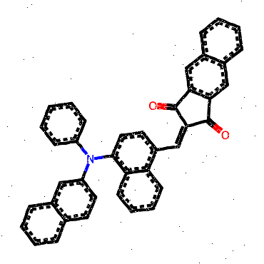 O=C1C(=Cc2ccc(N(c3ccccc3)c3ccc4ccccc4c3)c3ccccc23)C(=O)c2cc3ccccc3cc21